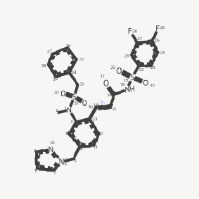 CN(c1cc(Cn2cccn2)ccc1/C=C/C(=O)NS(=O)(=O)c1ccc(F)c(F)c1)S(=O)(=O)Cc1ccccc1